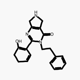 O=c1c2c(nc(C3=C(O)CCC=C3)n1CCc1ccccc1)CNC2